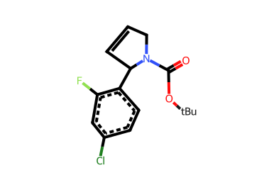 CC(C)(C)OC(=O)N1CC=CC1c1ccc(Cl)cc1F